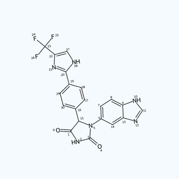 O=C1NC(=O)N(c2ccc3[nH]cnc3c2)C1c1ccc(-c2nc(C(F)(F)F)c[nH]2)cc1